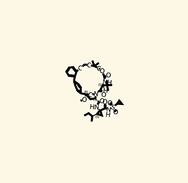 CCC(C)[C@@H]1C[C@]1(NC(=O)[C@@H]1C[C@]2(OC)CN1C(=O)[C@H](C(C)(C)C)NC(=O)OCC(C)(C)CCCc1ccccc1-c1ccc2cc1)C(=O)NS(=O)(=O)C1CC1